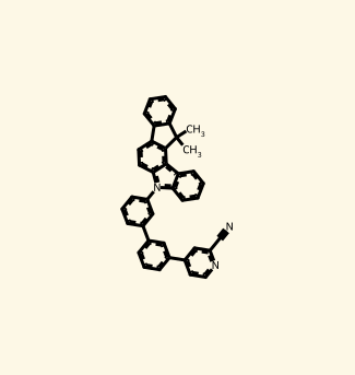 CC1(C)c2ccccc2-c2ccc3c(c21)c1ccccc1n3-c1cccc(-c2cccc(-c3ccnc(C#N)c3)c2)c1